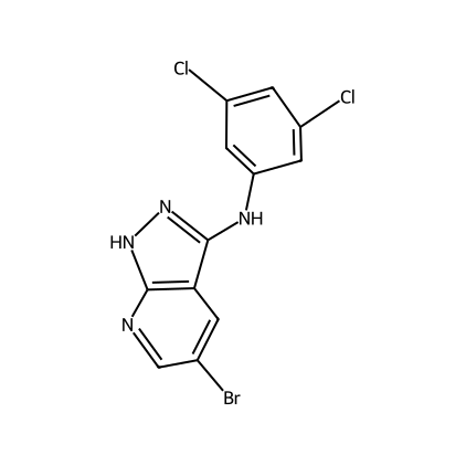 Clc1cc(Cl)cc(Nc2n[nH]c3ncc(Br)cc23)c1